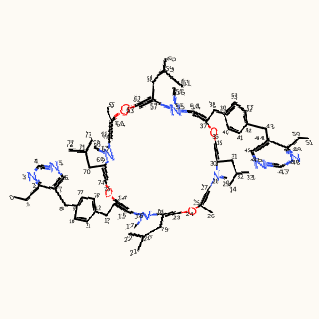 CCc1ncncc1Cc1ccc(CC2=CN(C)C(CC(C)C)=COC(C)=CN(C)C(CC(C)C)=COC(Cc3ccc(Cc4cncnc4CC)cc3)=CN(C)C(CC(C)C)=COC(C)=CN(C)C(CC(C)C)=CO2)cc1